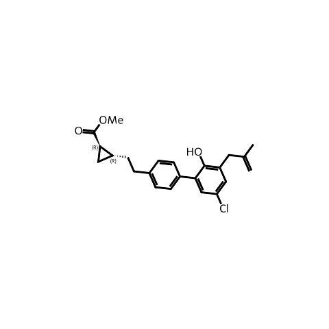 C=C(C)Cc1cc(Cl)cc(-c2ccc(CC[C@@H]3C[C@H]3C(=O)OC)cc2)c1O